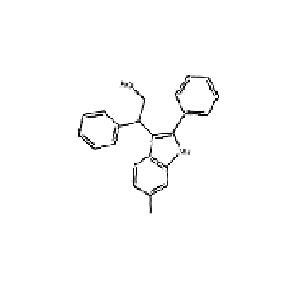 Cc1ccc2c(C(CO)c3ccccc3)c(-c3ccccc3)[nH]c2c1